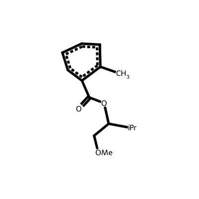 COCC(OC(=O)c1ccccc1C)C(C)C